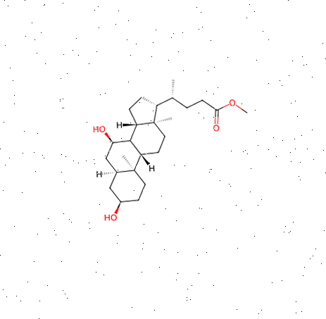 COC(=O)CC[C@@H](C)[C@H]1CC[C@H]2C3[C@H](O)C[C@@H]4C[C@H](O)CC[C@]4(C)[C@H]3CC[C@]12C